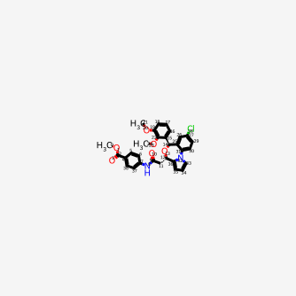 COC(=O)c1ccc(NC(=O)C[C@@H]2O[C@@H](c3cccc(OC)c3OC)c3cc(Cl)ccc3-n3cccc32)cc1